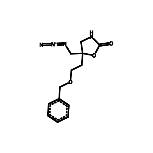 [N-]=[N+]=NCC1(CCOCc2ccccc2)CNC(=O)O1